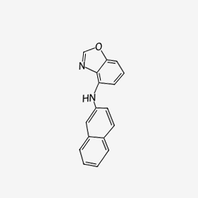 c1ccc2cc(Nc3cccc4ocnc34)ccc2c1